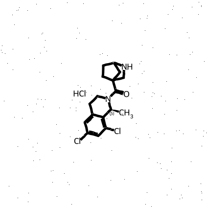 C[C@H]1c2c(Cl)cc(Cl)cc2CCN1C(=O)C12CCC(C1)NC2.Cl